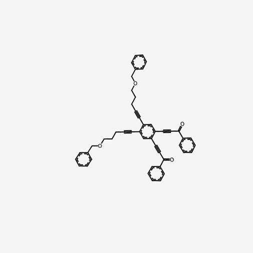 O=C(C#Cc1cc(C#CCCCOCc2ccccc2)c(C#CCCCOCc2ccccc2)cc1C#CC(=O)c1ccccc1)c1ccccc1